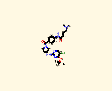 [2H]C([2H])([2H])Oc1nc(N[C@@H]2CCN(C(=O)c3ccc(NC(=O)/C=C/CN(C)C)cc3)C2)ncc1Cl